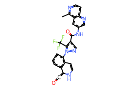 Cc1nccc2ncc(NC(=O)c3cnn(-c4cccc5c4C=CNC5=C=O)c3C(F)(F)F)cc12